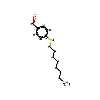 CCCCCCCCSc1ccc([C]=O)cc1